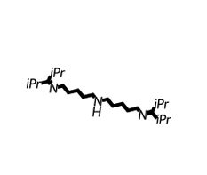 CC(C)C(=NCCCCCNCCCCCN=C(C(C)C)C(C)C)C(C)C